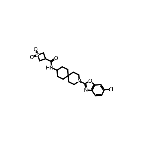 O=C(NC1CCC2(CC1)CCN(c1nc3ccc(Cl)cc3o1)CC2)C1CS(=O)(=O)C1